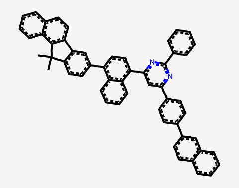 CC1(C)c2ccc(-c3ccc(-c4cc(-c5ccc(-c6ccc7ccccc7c6)cc5)nc(-c5ccccc5)n4)c4ccccc34)cc2-c2ccc3ccccc3c21